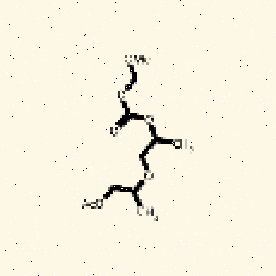 COCOC(=O)OC(C)COC(C)COC(C)=O